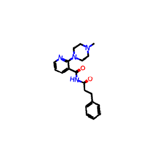 CN1CCN(c2ncccc2C(=O)NC(=O)CCc2ccccc2)CC1